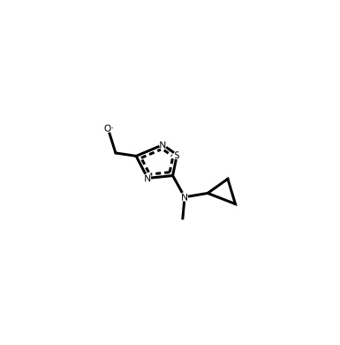 CN(c1nc(C[O])ns1)C1CC1